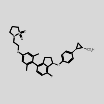 Cc1cc(OCCN2CCCS2(=O)=O)cc(C)c1-c1ccc(F)c2c1CC[C@H]2Oc1ccc([C@H]2C[C@@H]2C(=O)O)cc1